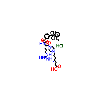 CC(C)(c1ccccc1)c1cccc(S(=O)(=O)N[C@@H](CCCNC(=N)N)C(=O)N2CCN(CCCCCCC(=O)O)CC2)c1.Cl